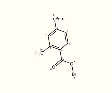 CCCCCc1ccc(C(=O)OBr)c(C)c1